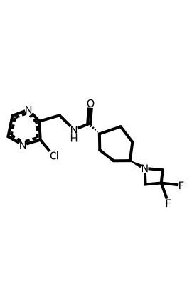 O=C(NCc1nccnc1Cl)[C@H]1CC[C@H](N2CC(F)(F)C2)CC1